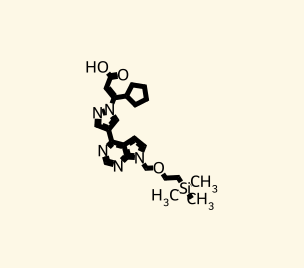 C[Si](C)(C)CCOCn1ccc2c(-c3cnn(C(=CC(=O)O)C4CCCC4)c3)ncnc21